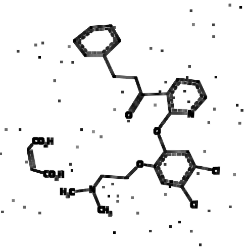 CN(C)CCOc1cc(Cl)c(Cl)cc1Oc1ncccc1C(=O)CCc1ccccc1.O=C(O)/C=C\C(=O)O